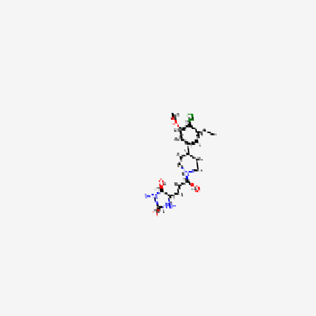 CCc1cc(C2CCN(C(=O)CC[C@H]3NC(=O)NC3=O)CC2)cc(OC)c1Cl